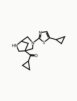 O=C(C1CC1)C12CNC(CN(c3ncc(C4CC4)s3)C1)C2